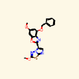 COc1cc(OCc2ccccc2)c2nc(-c3cnc4sc(OC)nn34)oc2c1